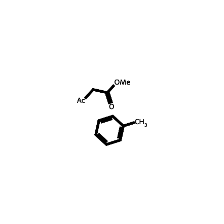 COC(=O)CC(C)=O.Cc1ccccc1